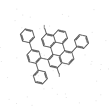 Ic1ccc2c3c(-c4cc(-c5ccccc5)ccc4-c4ccccc4)cc(I)c4ccc(-c5ccccc5)c(c5cccc1c52)c43